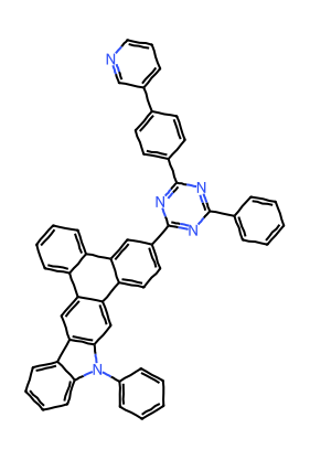 c1ccc(-c2nc(-c3ccc(-c4cccnc4)cc3)nc(-c3ccc4c(c3)c3ccccc3c3cc5c6ccccc6n(-c6ccccc6)c5cc43)n2)cc1